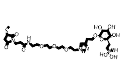 CSC1CC(=O)N(CCC(=O)NCCOCCOCCOCCn2cc(CCO[C@H]3O[C@H](CCP(O)(O)=P)[C@@H](O)[C@H](O)[C@@H]3O)nn2)C1=O